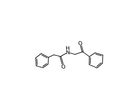 O=C(Cc1ccccc1)NCC(=O)c1ccccc1